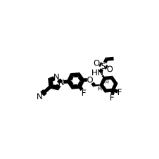 CCS(=O)(=O)N[C@H]1CCC(F)(F)C[C@H]1COc1ccc(-n2cc(C#N)cn2)cc1F